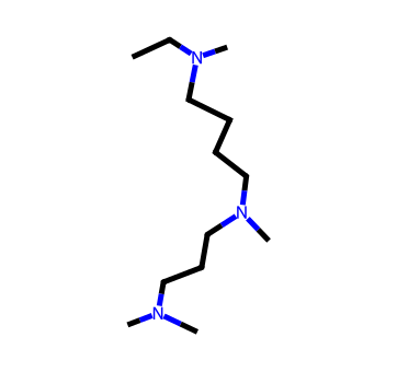 CCN(C)CCCCN(C)CCCN(C)C